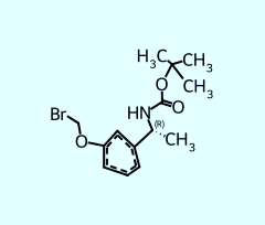 C[C@@H](NC(=O)OC(C)(C)C)c1cccc(OCBr)c1